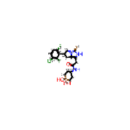 O=C(Cc1[nH]c(=S)n2c1CC(c1c(F)ccc(Cl)c1F)C2)NC1CCS(O)(O)CC1